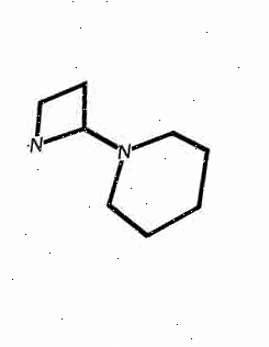 C1CCN(C2CC[N]2)CC1